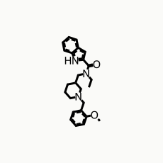 CCN(CC1CCCN(Cc2ccccc2OC)C1)C(=O)c1cc2ccccc2[nH]1